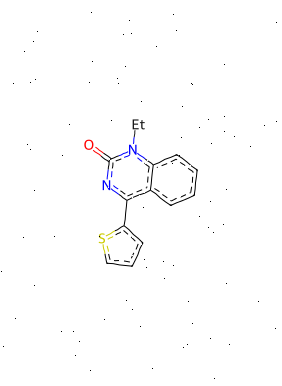 CCn1c(=O)nc(-c2cccs2)c2ccccc21